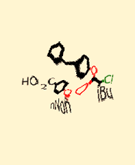 CCC(C)C(Cl)C(=O)Oc1ccc(-c2ccccc2)cc1.CCCCCCCCCOc1ccc(C(=O)O)cc1